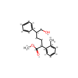 COC(=O)C(CCC(CO)c1ccccc1)c1ccccc1C